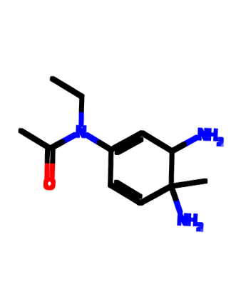 CCN(C(C)=O)C1=CC(N)C(C)(N)C=C1